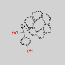 CC(O)(c1ccc(O)cc1)c1cc2ccc3ccc4ccc5ccc6ccc1c1c6c5c4c3c21